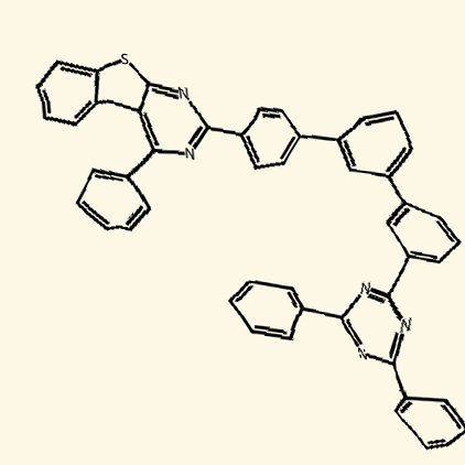 c1ccc(-c2nc(-c3ccccc3)nc(-c3cccc(-c4cccc(-c5ccc(-c6nc(-c7ccccc7)c7c(n6)sc6ccccc67)cc5)c4)c3)n2)cc1